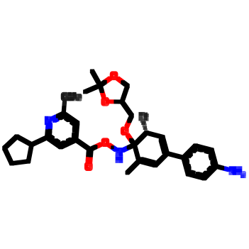 CC[C@@H]1C=C(c2ccc(N)cc2)C=C(C)C1(NOC(=O)c1cc(OC)nc(C2CCCC2)c1)OCC1COC(C)(C)O1